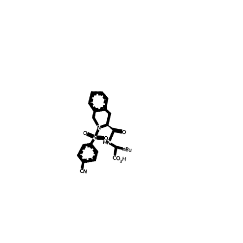 CCCCC(NC(=O)[C@@H]1Cc2ccccc2CN1S(=O)(=O)c1ccc(C#N)cc1)C(=O)O